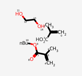 C=C(C)C(=O)O.C=C(C)C(=O)OCCCC.OCCO